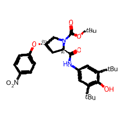 CC(C)(C)OC(=O)N1C[C@@H](Oc2ccc([N+](=O)[O-])cc2)C[C@@H]1C(=O)Nc1cc(C(C)(C)C)c(O)c(C(C)(C)C)c1